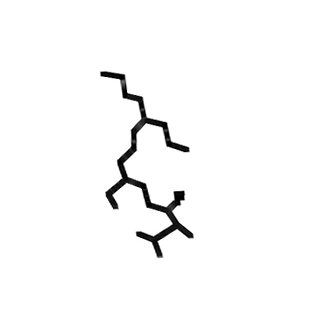 CCCCC(CCC)CCCC(CC)CCC(F)C(C)C(C)C